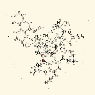 CC[C@H]1O[C@@H](O[C@@H]2[C@@H](OC(C)=O)[C@H](N=[N+]=[N-])C[C@H](N=[N+]=[N-])[C@H]2O[C@H]2O[C@H]([C@@H](C)N(Cc3ccccc3)C(=O)OCc3ccccc3)CC[C@H]2N=[N+]=[N-])[C@H](OC(C)=O)[C@@H]1O[C@H]1O[C@@H](CN=[N+]=[N-])[C@@H](OC(C)=O)[C@H](OC(C)=O)[C@H]1N=[N+]=[N-]